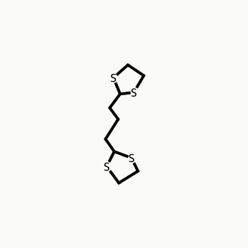 C(CC1SCCS1)CC1SCCS1